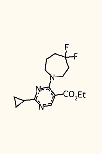 CCOC(=O)c1cnc(C2CC2)nc1N1CCCC(F)(F)CC1